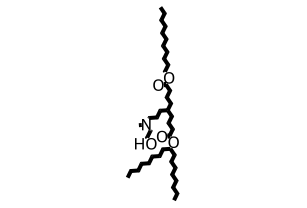 CCCCCCCCCCCOC(=O)CCCC(CCCC(=O)OC(CCCCCCCC)CCCCCCCC)CCCN(C)CCO